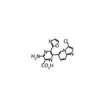 Nc1nc(-c2ncco2)c(-c2ccc3ncc(Cl)n3c2)nc1C(=O)O